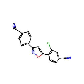 N#Cc1ccc(-c2cc(-c3ccc(C#N)cc3Cl)on2)cc1